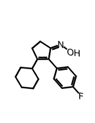 ON=C1CCC(C2CCCCC2)=C1c1ccc(F)cc1